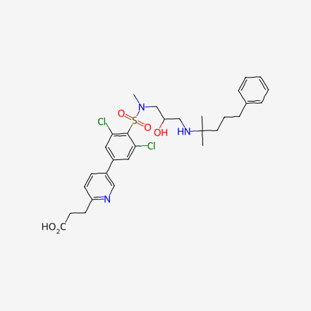 CN(CC(O)CNC(C)(C)CCCc1ccccc1)S(=O)(=O)c1c(Cl)cc(-c2ccc(CCC(=O)O)nc2)cc1Cl